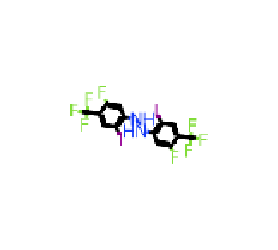 Fc1cc(NNc2cc(F)c(C(F)(F)F)cc2I)c(I)cc1C(F)(F)F